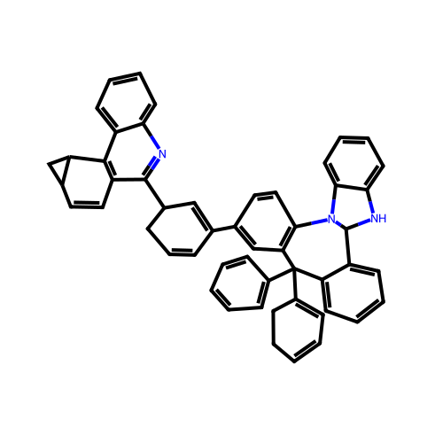 C1=CCCC(C2(c3ccccc3)c3ccccc3C3Nc4ccccc4N3c3ccc(C4=CC(c5nc6ccccc6c6c5C=CC5CC65)CC=C4)cc32)=C1